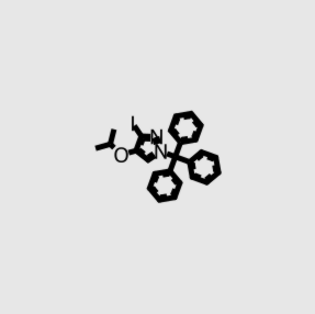 CC(C)Oc1cn(C(c2ccccc2)(c2ccccc2)c2ccccc2)nc1I